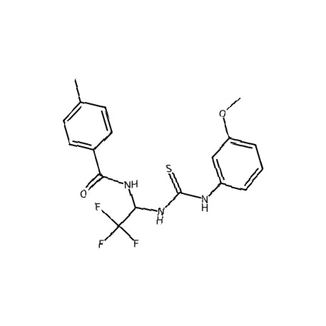 COc1cccc(NC(=S)NC(NC(=O)c2ccc(C)cc2)C(F)(F)F)c1